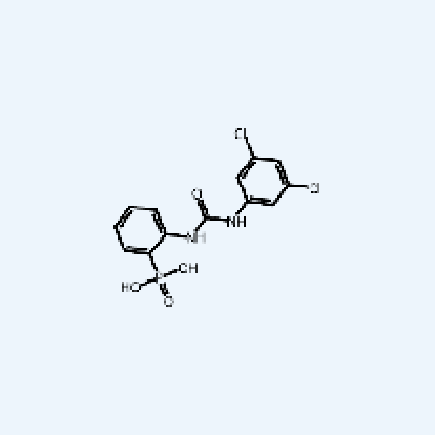 O=C(Nc1cc(Cl)cc(Cl)c1)Nc1ccccc1P(=O)(O)O